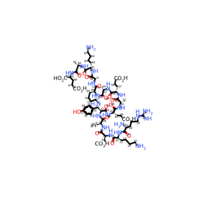 CC(C)[C@H](NC(=O)[C@H](CC(=O)O)NC(=O)[C@H](CCCCN)NC(=O)[C@@H](N)CCCNC(=N)N)C(=O)N[C@@H](Cc1ccc(O)cc1)C(=O)N[C@@H](CCC(=O)O)C(=O)N[C@@H](C)C(=O)N[C@@H](CCC(=O)O)C(=O)N[C@@H](C)C(=O)N[C@@H](CCCCN)C(=O)NCC(=O)N[C@@H](CCCCN)C(=O)N[C@@H](C)C(=O)N[C@@H](CCC(=O)O)C(=O)O